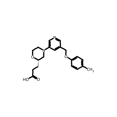 Cc1ccc(OCc2cncc(N3CCO[C@@H](CCC(=O)O)C3)c2)cc1